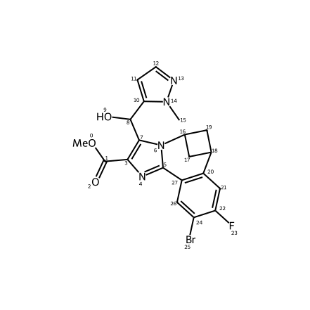 COC(=O)c1nc2n(c1C(O)c1ccnn1C)C1CC(C1)c1cc(F)c(Br)cc1-2